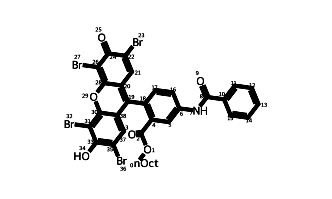 CCCCCCCCOC(=O)c1cc(NC(=O)c2ccccc2)ccc1-c1c2cc(Br)c(=O)c(Br)c-2oc2c(Br)c(O)c(Br)cc12